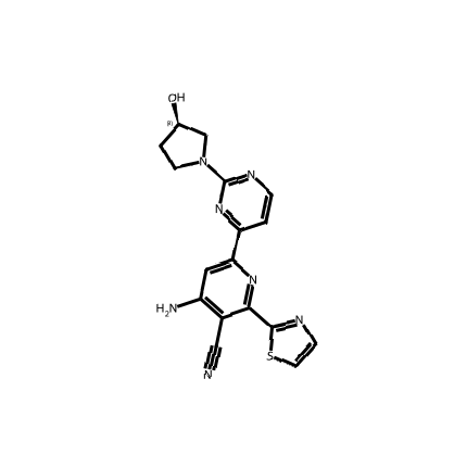 N#Cc1c(N)cc(-c2ccnc(N3CC[C@@H](O)C3)n2)nc1-c1nccs1